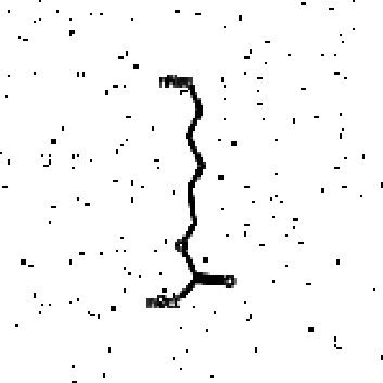 CCCCCCCCCCCCCCOC(=O)CCCCCCCC